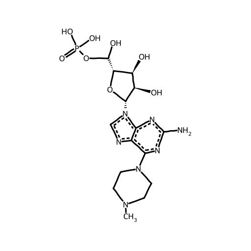 CN1CCN(c2nc(N)nc3c2ncn3[C@@H]2O[C@H](C(O)OP(=O)(O)O)[C@@H](O)[C@H]2O)CC1